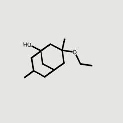 CCOC1(C)CC2CC(C)CC(O)(C2)C1